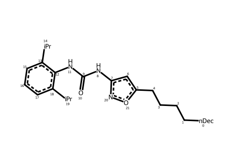 CCCCCCCCCCCCCCc1cc(NC(=O)Nc2c(C(C)C)cccc2C(C)C)no1